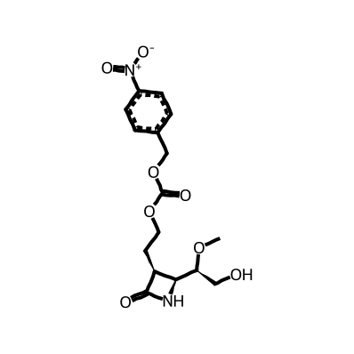 CO[C@@H](CO)[C@H]1NC(=O)[C@H]1CCOC(=O)OCc1ccc([N+](=O)[O-])cc1